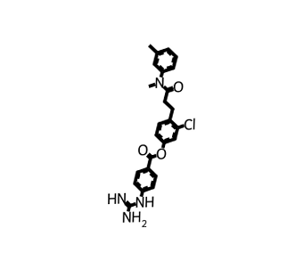 Cc1cccc(N(C)C(=O)CCc2ccc(OC(=O)c3ccc(NC(=N)N)cc3)cc2Cl)c1